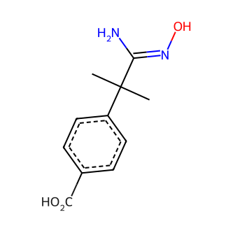 CC(C)(C(N)=NO)c1ccc(C(=O)O)cc1